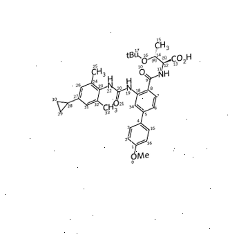 COc1ccc(-c2ccc(C(=O)N[C@H](C(=O)O)[C@@H](C)OC(C)(C)C)c(NC(=O)Nc3c(C)cc(C4CC4)cc3C)c2)cc1